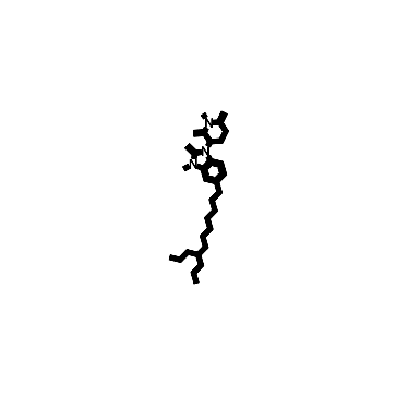 C=C1CCC(N2C(=C)N(C)c3cc(CCCCCCCC(CCC)CCC)ccc32)C(=C)N1C